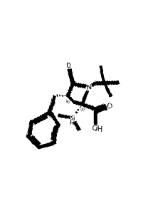 C[SiH](C)[C@]1(C(=O)O)[C@H](Cc2ccccc2)C(=O)N1C(C)(C)C